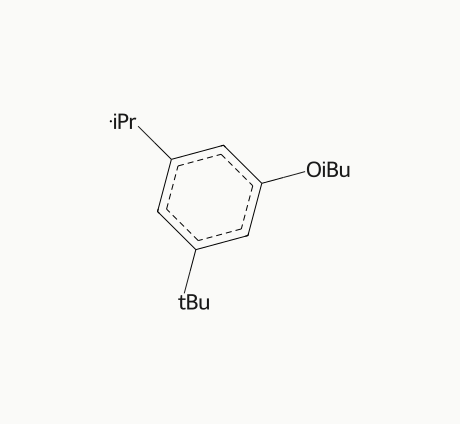 C[C](C)c1cc(OCC(C)C)cc(C(C)(C)C)c1